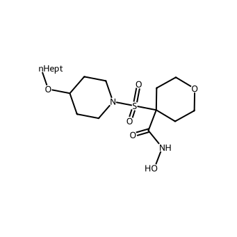 CCCCCCCOC1CCN(S(=O)(=O)C2(C(=O)NO)CCOCC2)CC1